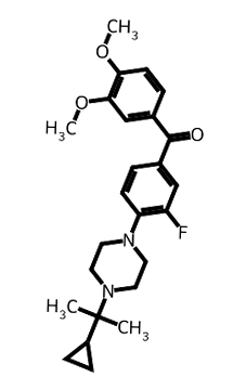 COc1ccc(C(=O)c2ccc(N3CCN(C(C)(C)C4CC4)CC3)c(F)c2)cc1OC